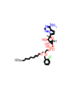 CCCCCCCCCCCCCCCCCCOC[C@H](COP(=O)(O)OC1[C@H]2O[C@@](C)(c3ccc4c(N)ncnn34)[C@H](O)[C@@]12O)OCc1ccccc1Cl